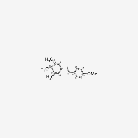 COc1ccc(/C=C/c2cc(C)c(C)c(C)c2)cc1